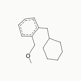 COCc1ccccc1CC1CCCCC1